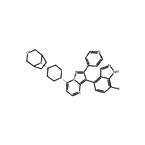 Fc1ccc(-c2c(-c3ccncc3)nn3c2nccc3[C@H]2CC[C@@H](N3C4CCC3COC4)CC2)c2cn[nH]c12